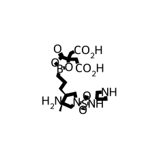 C[C@]1(N)CN(S(=O)(=O)NC2CNC2)C[C@@H]1CCCB1OC(=O)C(CC(=O)O)(CC(=O)O)O1